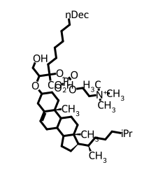 CCCCCCCCCCCCCCCCC(OP(=O)([O-])OCC[N+](C)(C)C)(C(=O)O)C(CO)OC1CC[C@@]2(C)C(=CCC3C2CC[C@@]2(C)C3CC[C@@H]2[C@H](C)CCCC(C)C)C1